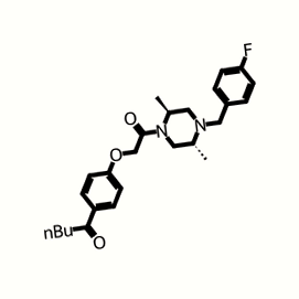 CCCCC(=O)c1ccc(OCC(=O)N2C[C@@H](C)N(Cc3ccc(F)cc3)C[C@@H]2C)cc1